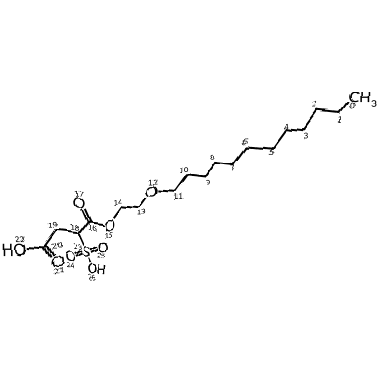 CCCCCCCCCCCCOCCOC(=O)C(CC(=O)O)S(=O)(=O)O